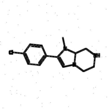 CN1C(c2ccc(Cl)cc2)=CN2CCNCC21